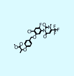 COC(=O)C(C)Oc1ccc(COc2cc(-n3c(=O)cc(C(F)(F)F)n(C)c3=O)c(F)cc2Cl)cc1